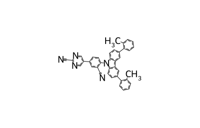 Cc1ccccc1-c1ccc2c(c1)c1cc(-c3ccccc3C)ccc1n2-c1ccc(-c2cnc(C#N)nc2)cc1C#N